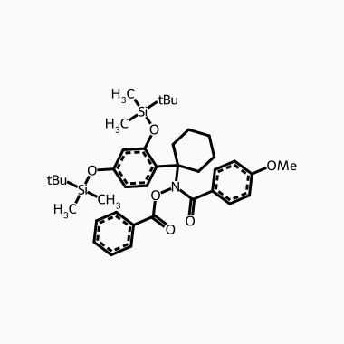 COc1ccc(C(=O)N(OC(=O)c2ccccc2)C2(c3ccc(O[Si](C)(C)C(C)(C)C)cc3O[Si](C)(C)C(C)(C)C)CCCCC2)cc1